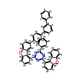 c1ccc(-c2cccc(-c3ccc(-c4ccc5oc6cccc(-c7nc(-c8ccccc8)nc(-c8cccc9oc%10ccccc%10c89)n7)c6c5c4)cc3)c2)cc1